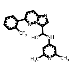 Cc1cc(NC(O)c2cnc3ccc(-c4ccccc4C(F)(F)F)nn23)cc(C)n1